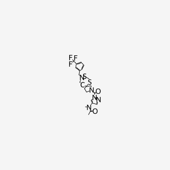 CC(=O)N(C)c1cnn(C(=O)N2CCC3(CCN(Cc4cccc(C(F)(F)F)c4)SCS3)C2)c1